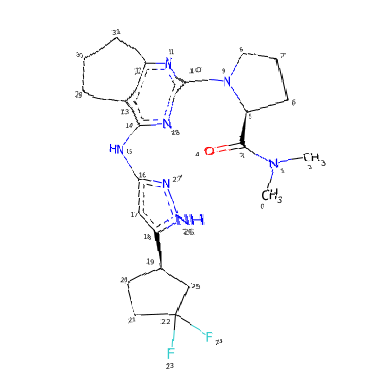 CN(C)C(=O)[C@@H]1CCCN1c1nc2c(c(Nc3cc([C@@H]4CCC(F)(F)C4)[nH]n3)n1)CCC2